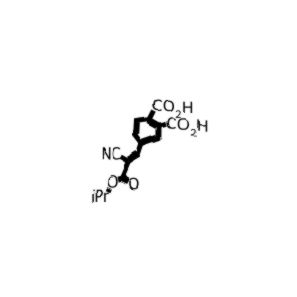 CC(C)OC(=O)/C(C#N)=C/c1ccc(C(=O)O)c(C(=O)O)c1